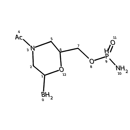 BC1CN(C(C)=O)CC(CO[PH](N)=O)O1